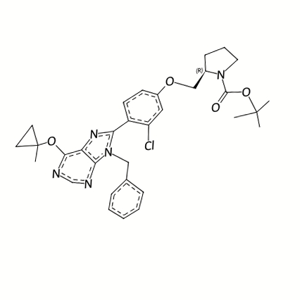 CC(C)(C)OC(=O)N1CCC[C@@H]1COc1ccc(-c2nc3c(OC4(C)CC4)ncnc3n2Cc2ccccc2)c(Cl)c1